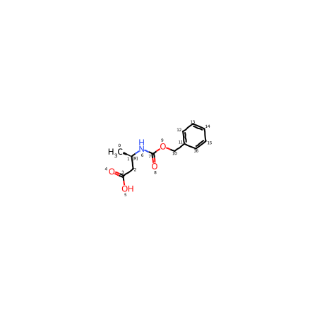 C[C@H](CC(=O)O)NC(=O)OCc1ccccc1